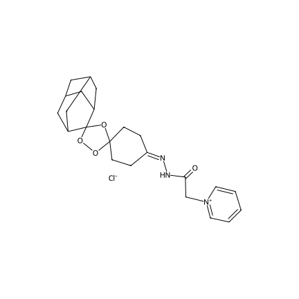 O=C(C[n+]1ccccc1)NN=C1CCC2(CC1)OOC1(O2)C2CC3CC(C2)CC1C3.[Cl-]